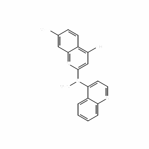 CNN(c1cc(C)c2ccc(OC)cc2n1)c1ccnc2ccccc12